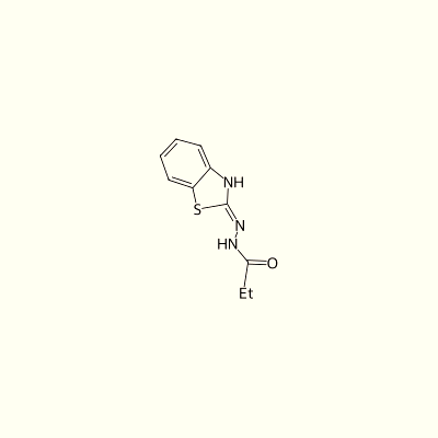 CCC(=O)NN=c1[nH]c2ccccc2s1